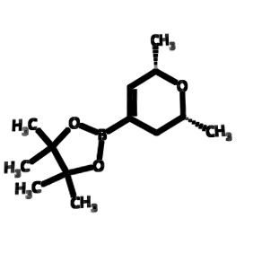 C[C@@H]1CC(B2OC(C)(C)C(C)(C)O2)=C[C@H](C)O1